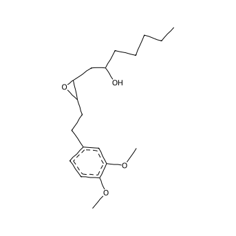 CCCCCC(O)CC1OC1CCc1ccc(OC)c(OC)c1